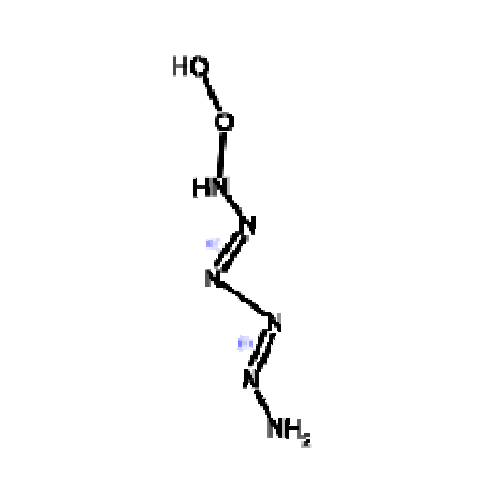 N/N=N/N=N/NOO